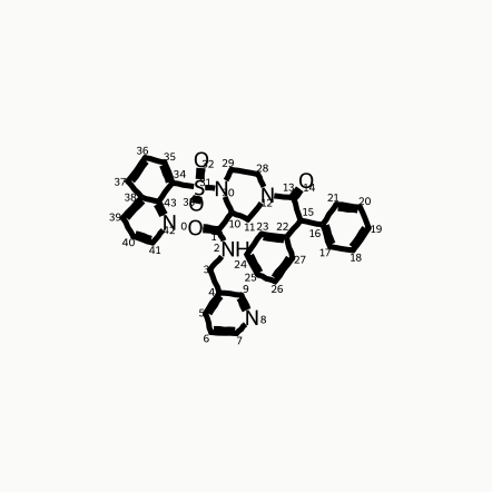 O=C(NCc1cccnc1)C1CN(C(=O)C(c2ccccc2)c2ccccc2)CCN1S(=O)(=O)c1cccc2cccnc12